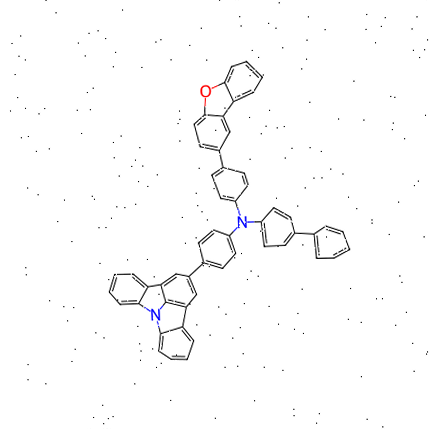 c1ccc(-c2ccc(N(c3ccc(-c4ccc5oc6ccccc6c5c4)cc3)c3ccc(-c4cc5c6ccccc6n6c7ccccc7c(c4)c56)cc3)cc2)cc1